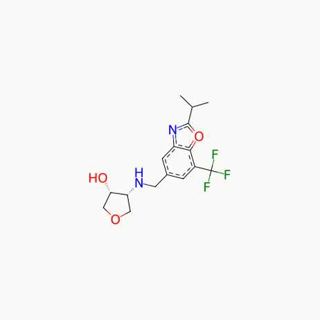 CC(C)c1nc2cc(CN[C@@H]3COC[C@@H]3O)cc(C(F)(F)F)c2o1